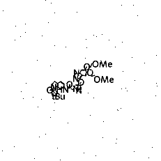 COCCOc1cc2ncnc(Oc3cnn(CC(=O)Nc4ccc5c(c4)N(C(=O)OC(C)(C)C)CC5)c3)c2cc1OCCOC